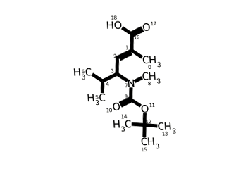 CC(=CC(C(C)C)N(C)C(=O)OC(C)(C)C)C(=O)O